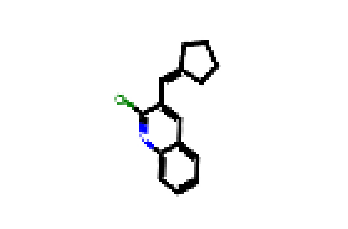 Clc1nc2ccccc2cc1C=C1CCCC1